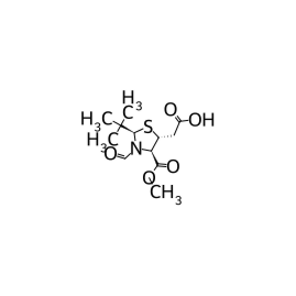 COC(=O)[C@@H]1[C@@H](CC(=O)O)S[C@H](C(C)(C)C)N1C=O